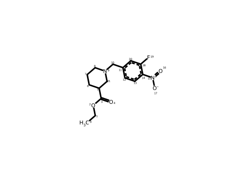 CCOC(=O)C1CCCN(Cc2ccc([N+](=O)[O-])c(F)c2)C1